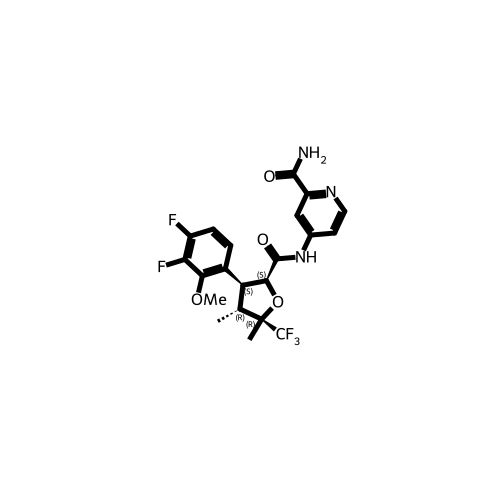 COc1c([C@H]2[C@@H](C(=O)Nc3ccnc(C(N)=O)c3)O[C@@](C)(C(F)(F)F)[C@@H]2C)ccc(F)c1F